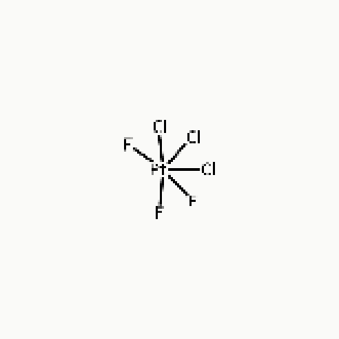 [F][Pt]([F])([F])([Cl])([Cl])[Cl]